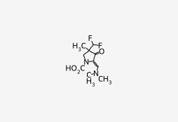 CN(C)/C=C1/C(=O)C(C)(C(F)F)CN1C(=O)O